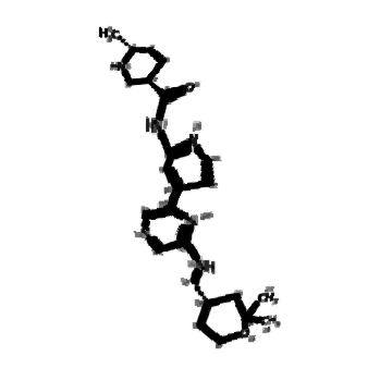 C[C@@H]1CC[C@@H](C(=O)Nc2cc(-c3cncc(NC[C@H]4CCOC(C)(C)C4)n3)ccn2)CN1